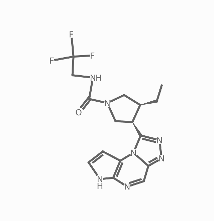 CC[C@@H]1CN(C(=O)NCC(F)(F)F)C[C@@H]1c1nnc2cnc3[nH]ccc3n12